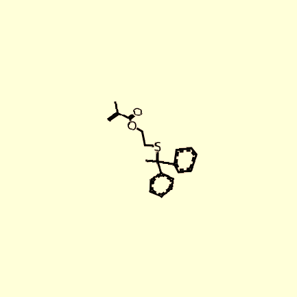 C=C(C)C(=O)OCCSC(C)(c1ccccc1)c1ccccc1